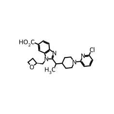 CC(c1nc2ccc(C(=O)O)cc2n1C[C@@H]1CCO1)C1CCN(c2cccc(Cl)n2)CC1